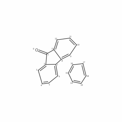 O=C1c2ccccc2-c2ccccc21.c1ccccc1